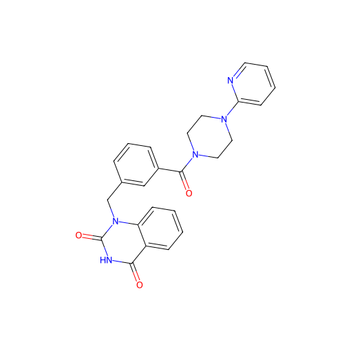 O=C(c1cccc(Cn2c(=O)[nH]c(=O)c3ccccc32)c1)N1CCN(c2ccccn2)CC1